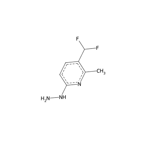 Cc1nc(NN)ccc1C(F)F